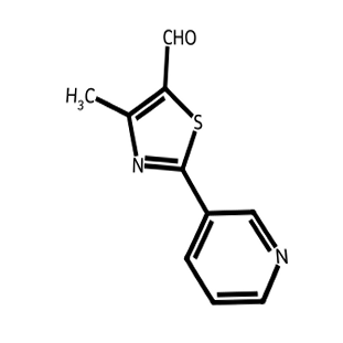 Cc1nc(-c2cccnc2)sc1C=O